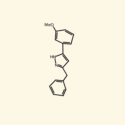 COc1cccc(-c2cc(Cc3ccccc3)n[nH]2)c1